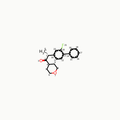 C[C@@H](C(=O)C1CCOCC1)c1ccc(-c2ccccc2)c(F)c1